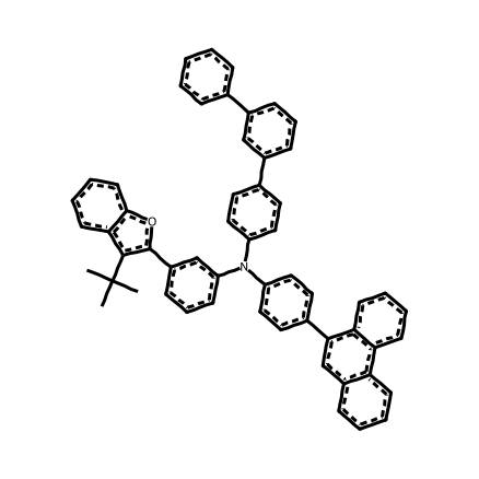 CC(C)(C)c1c(-c2cccc(N(c3ccc(-c4cccc(-c5ccccc5)c4)cc3)c3ccc(-c4cc5ccccc5c5ccccc45)cc3)c2)oc2ccccc12